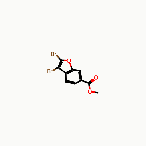 COC(=O)c1ccc2c(Br)c(Br)oc2c1